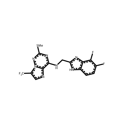 CSc1nc(NCc2nc3c(F)c(F)ccc3[nH]2)c2ncc(C(F)(F)F)n2n1